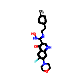 O=c1c(C(=NCCc2ccc(C(F)(F)F)cc2)NO)c[nH]c2cc(N3CCOCC3)c(F)cc12